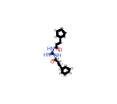 N=C(NC(=O)/C=C/c1ccccc1)NC(=O)/C=C/c1ccccc1